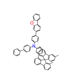 Cc1ccc2c(c1)-c1cc(C)ccc1C21c2c(C)cccc2-c2cccc(-c3cccc(N(c4ccc(-c5ccccc5)cc4)c4ccc(-c5ccc6c(c5)oc5ccccc56)cc4)c3)c21